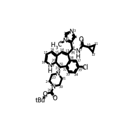 Cn1cncc1[C@H](NC(=O)C1CC1)C1=CC2=CC=CNC2[C@@H](N2CCN(C(=O)OC(C)(C)C)CC2)c2ccc(Cl)cc21